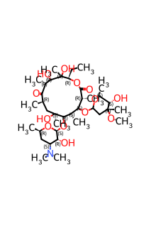 CC[C@H]1OC(=O)[C@H](C)[C@@H](OC2C[C@@](C)(OC)[C@@H](O)[C@H](C)O2)[C@H](C)[C@@H](O[C@@H]2O[C@H](C)C[C@H](N(C)C)[C@H]2O)[C@@](C)(O)C[C@@H](C)C(=O)[C@H](C)[C@@H](O)[C@]1(C)O